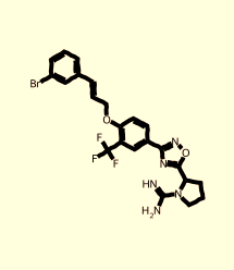 N=C(N)N1CCCC1c1nc(-c2ccc(OC/C=C/c3cccc(Br)c3)c(C(F)(F)F)c2)no1